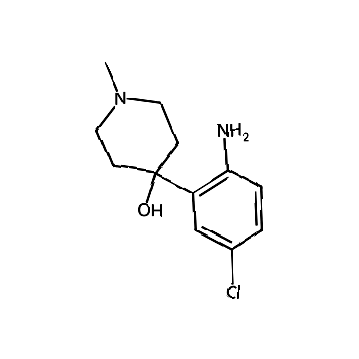 CN1CCC(O)(c2cc(Cl)ccc2N)CC1